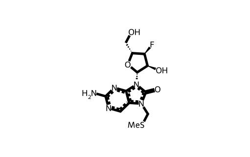 CSCn1c(=O)n([C@@H]2O[C@H](CO)[C@@H](F)[C@H]2O)c2nc(N)ncc21